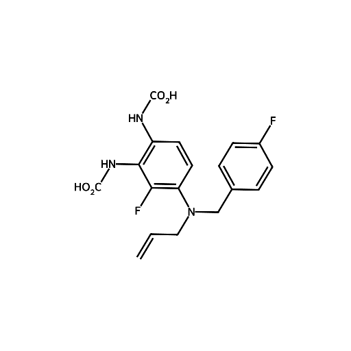 C=CCN(Cc1ccc(F)cc1)c1ccc(NC(=O)O)c(NC(=O)O)c1F